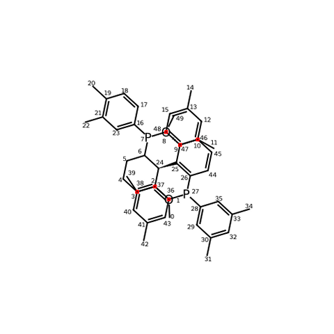 COC1=CCCC(P(c2cc(C)cc(C)c2)c2ccc(C)c(C)c2)[C@H]1C1=C(P(c2cc(C)cc(C)c2)c2cc(C)cc(C)c2)C=CC[C@H]1OC